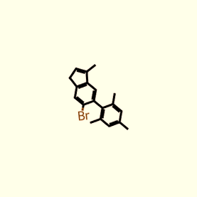 CC1=CCc2cc(Br)c(-c3c(C)cc(C)cc3C)cc21